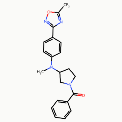 CN(c1ccc(-c2noc(C(F)(F)F)n2)cc1)C1CCN(C(=O)c2ccccc2)C1